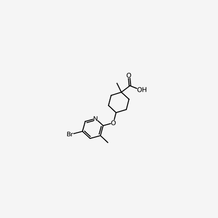 Cc1cc(Br)cnc1OC1CCC(C)(C(=O)O)CC1